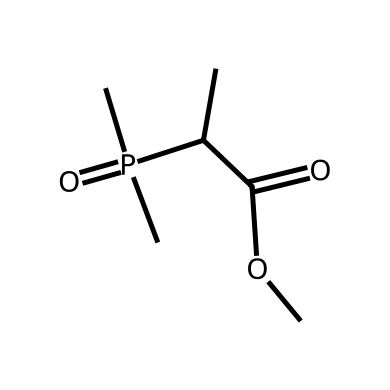 COC(=O)C(C)P(C)(C)=O